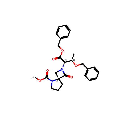 C[C@@H](OCc1ccccc1)[C@@H](C(=O)OCc1ccccc1)N1C[C@]2(CCCN2C(=O)OC(C)(C)C)C1=O